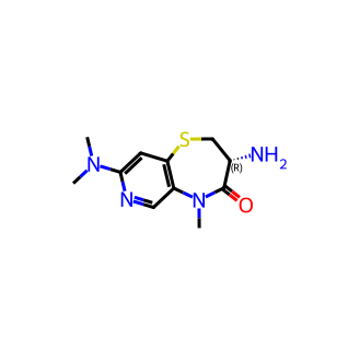 CN(C)c1cc2c(cn1)N(C)C(=O)[C@@H](N)CS2